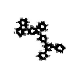 c1cncc(-c2cc(-c3ccc(-n4c5ccccc5c5cc(-n6c7ccccc7c7ccccc76)ccc54)cc3)cc(-c3cccnc3)n2)c1